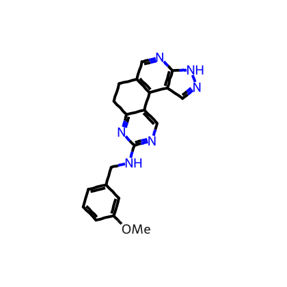 COc1cccc(CNc2ncc3c(n2)CCc2cnc4[nH]ncc4c2-3)c1